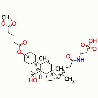 COC(=O)CCCC(=O)O[C@H]1CC[C@]2(C)C(C1)C[C@@H](O)[C@H]1C2CC[C@]2(C)C1CC[C@H]2[C@@H](C)CCC(=O)NCCS(=O)(=O)O